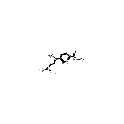 CN(C)CCN(C)c1ccc(C(=O)NO)nc1